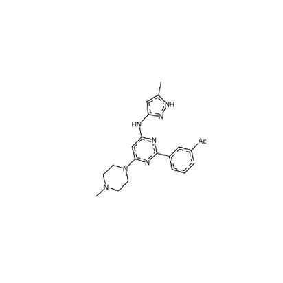 CC(=O)c1cccc(-c2nc(Nc3cc(C)[nH]n3)cc(N3CCN(C)CC3)n2)c1